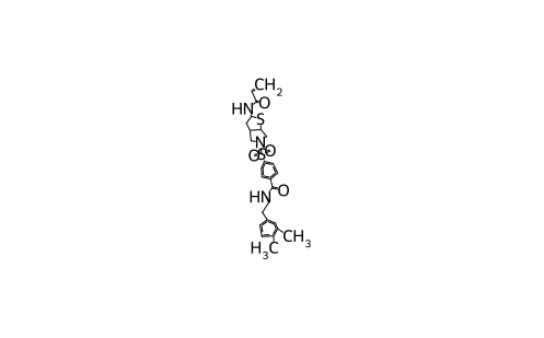 C=CC(=O)NC1CC2CN(S(=O)(=O)c3ccc(C(=O)NCCc4ccc(C)c(C)c4)cc3)CC2S1